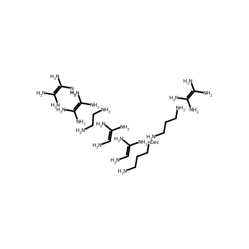 CCCCCCCCCCCCCN.NC(N)=C(N)N.NC(N)=C(N)N.NC(N)=C(N)N.NC=C(N)N.NC=C(N)N.NCCCN.NCCN